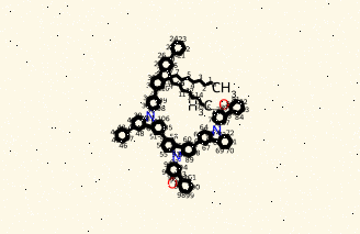 CCCCCCCCC1(CCCCCCCC)c2cc(-c3ccccc3)ccc2-c2ccc(-c3ccc(-n4c5ccc(-c6ccccc6)cc5c5cc(-c6ccc7c(c6)c6cc(-c8ccc9c(c8)c8ccccc8n9-c8ccc9oc%10ccccc%10c9c8)ccc6n7-c6ccc7oc8ccccc8c7c6)ccc54)cc3)cc21